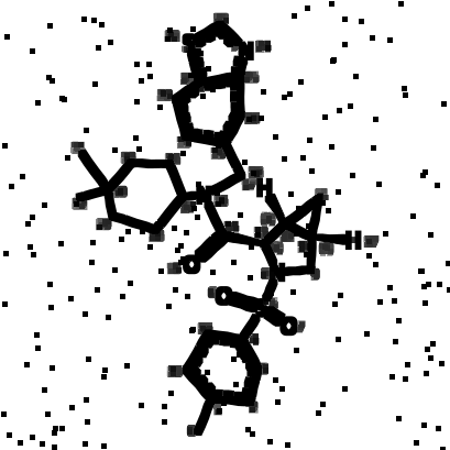 Cc1ccc(S(=O)(=O)N2C[C@H]3C[C@H]3[C@@H]2C(=O)N(Cc2ccc3scnc3c2)C2CCC(C)(C)CC2)cc1